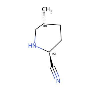 C[C@@H]1CC[C@@H](C#N)NC1